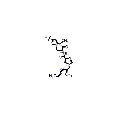 C=C(/C=C\C=C/C)Cn1cnc(C(=O)N[C@H]2CCn3nc(C)cc3N(C)C2=O)c1